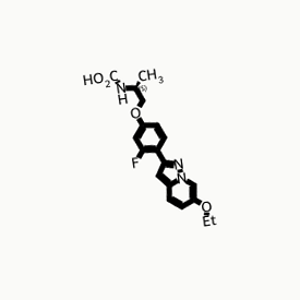 CCOc1ccc2cc(-c3ccc(OC[C@H](C)NC(=O)O)cc3F)nn2c1